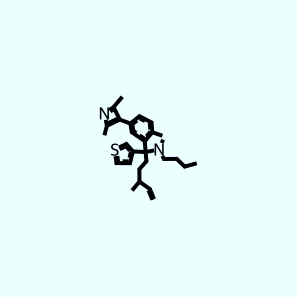 C=CC(C)CCC(c1ccsc1)(c1cc(C2=C(C)N=C2C)ccc1C)N(C)CCCC